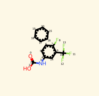 O=C(O)Nc1ccc(F)c(C(F)(F)F)c1.c1ccccc1